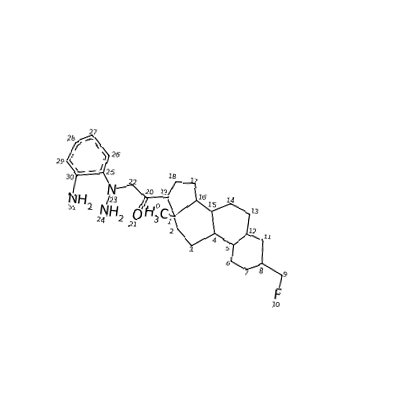 CC12CCC3C4CCC(CF)CC4CCC3C1CCC2C(=O)CN(N)c1ccccc1N